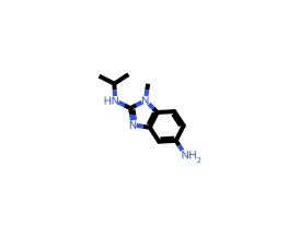 CC(C)Nc1nc2cc(N)ccc2n1C